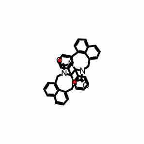 O=C1N2Cc3cccc4cccc(c34)CN3C(=O)N4Cc5cccc6cccc(c56)CN1C4(c1ccccc1)C23c1ccccc1